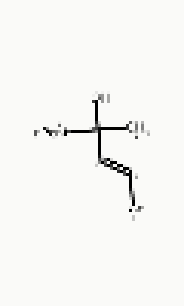 CCCCCC(C)(O)C=CC(C)=O